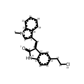 Cn1cc(C=C2C(=O)Nc3ccc(CCCl)cc32)c2ccccc21